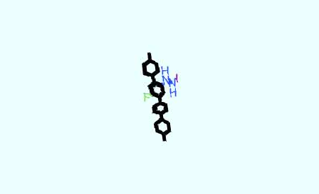 CC1CCC(c2ccc(-c3cc(NNI)c(C4CCC(C)CC4)cc3F)cc2)CC1